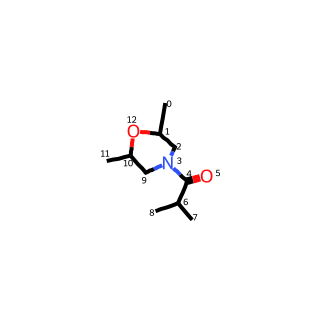 CC1CN(C(=O)C(C)C)CC(C)O1